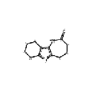 O=C1CCCc2oc3c(c2N1)CCCC3